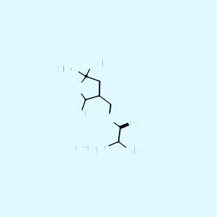 CCCCCCCC(CCCCCCC)C(=O)OCC1CC(C)(C)OC1CCC